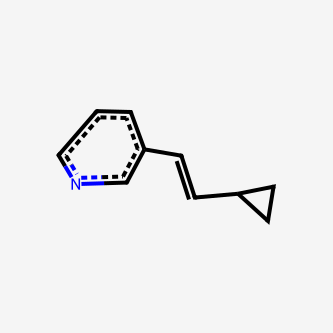 C(=CC1CC1)c1cccnc1